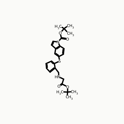 CC(C)(C)OC(=O)CNCc1ccccc1Sc1ccc2c(ccn2C(=O)OC(C)(C)C)c1